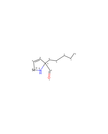 CCCCCC1(C=O)C=C[Se]N1